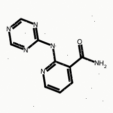 NC(=O)c1cccnc1[N]c1ncncn1